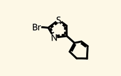 Brc1nc(C2=CCCC=C2)cs1